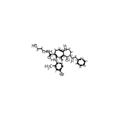 Cc1cc(Br)ccc1NC1=C(C(=O)NOCCO)CC=C2NCCC(NCc3ccccn3)C(C)C2=C1F